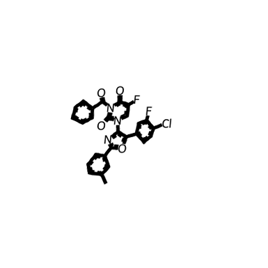 Cc1cccc(-c2nc(-n3cc(F)c(=O)n(C(=O)c4ccccc4)c3=O)c(-c3ccc(Cl)c(F)c3)o2)c1